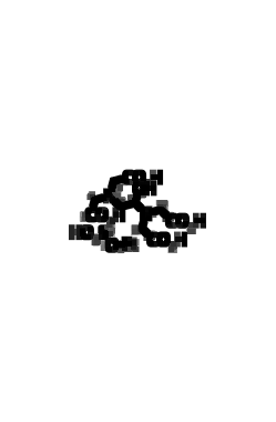 CCOS(=O)(=O)O.O=C(O)CN(CC(=O)O)CC(O)N(CC(=O)O)CC(=O)O